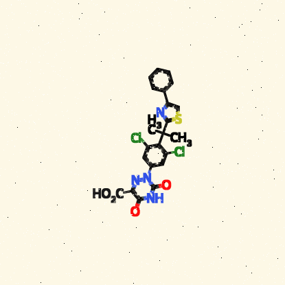 CC(C)(c1nc(-c2ccccc2)cs1)c1c(Cl)cc(-n2nc(C(=O)O)c(=O)[nH]c2=O)cc1Cl